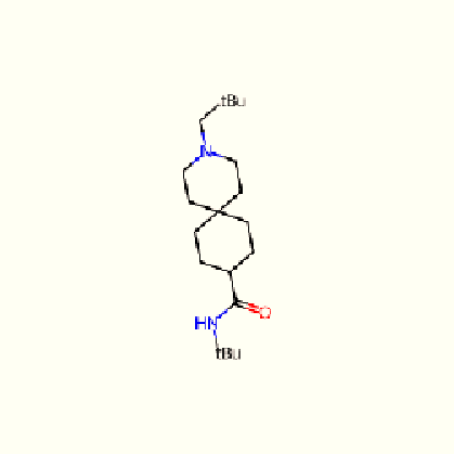 CC(C)(C)CN1CCC2(CCC(C(=O)NC(C)(C)C)CC2)CC1